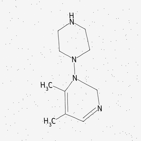 CC1=C(C)N(N2CCNCC2)CN=C1